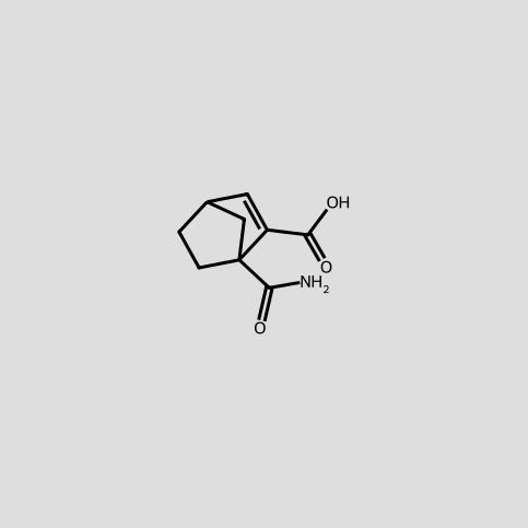 NC(=O)C12CCC(C=C1C(=O)O)C2